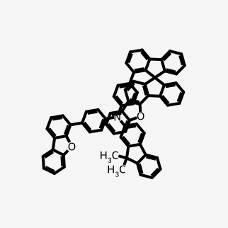 CC1(C)c2ccccc2-c2ccc(N(c3ccc(-c4cccc5c4C4(c6ccccc6-5)c5ccccc5-c5c4ccc4c5oc5ccccc54)cc3)c3ccc(-c4cccc5c4oc4ccccc45)cc3)cc21